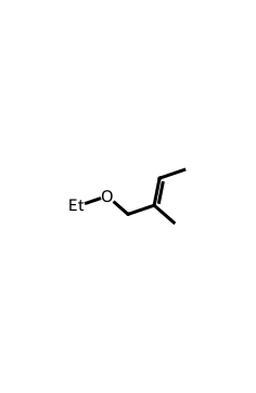 CC=C(C)COCC